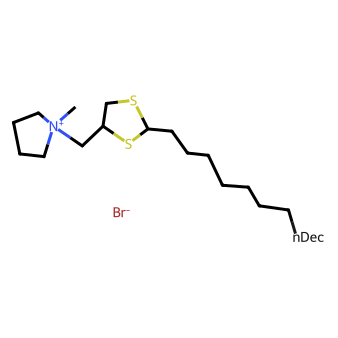 CCCCCCCCCCCCCCCCCC1SCC(C[N+]2(C)CCCC2)S1.[Br-]